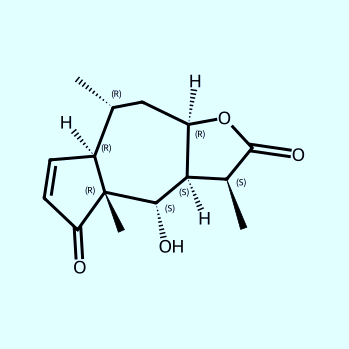 C[C@@H]1C[C@H]2OC(=O)[C@@H](C)[C@H]2[C@H](O)[C@]2(C)C(=O)C=C[C@@H]12